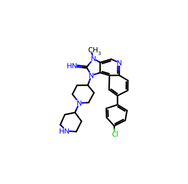 Cn1c(=N)n(C2CCN(C3CCNCC3)CC2)c2c3cc(-c4ccc(Cl)cc4)ccc3ncc21